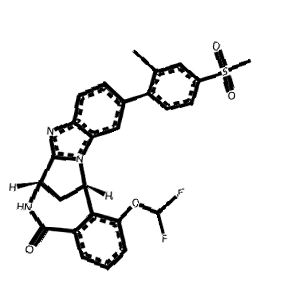 Cc1cc(S(C)(=O)=O)ccc1-c1ccc2nc3n(c2c1)[C@H]1C[C@@H]3NC(=O)c2cccc(OC(F)F)c21